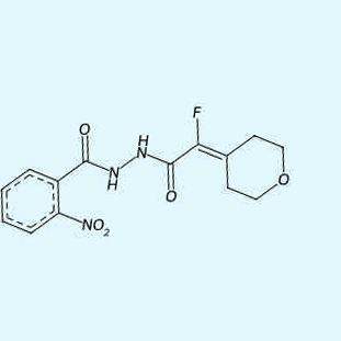 O=C(NNC(=O)c1ccccc1[N+](=O)[O-])C(F)=C1CCOCC1